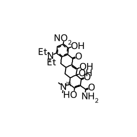 CCN(CC)c1cc([N+](=O)[O-])c(O)c2c1CC1CC3[C@H](N(C)C)C(O)=C(C(N)=O)C(=O)C3(O)C(O)=C1C2=O